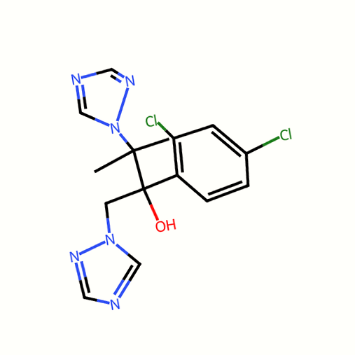 CC(C)(n1cncn1)C(O)(Cn1cncn1)c1ccc(Cl)cc1Cl